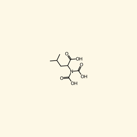 CC(C)CC(C(=O)O)N(C(=O)O)C(=O)O